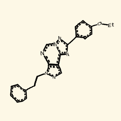 CCOc1ccc(-c2nc3c4cnn(CCc5ccccc5)c4ncn3n2)cc1